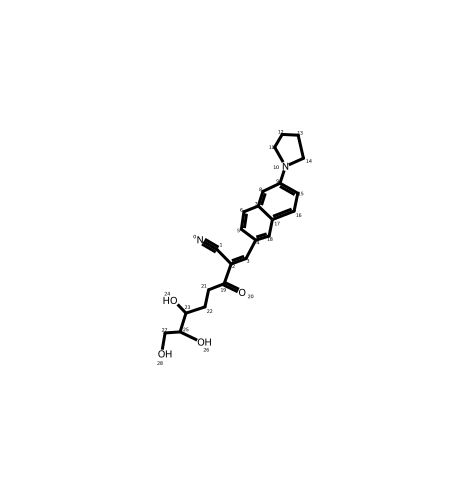 N#C/C(=C\c1ccc2cc(N3CCCC3)ccc2c1)C(=O)CCC(O)C(O)CO